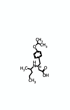 CCCC(C)N[C@H](CC(=O)O)Cc1ccc(OC(C)C)cc1